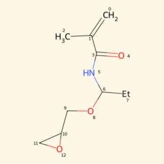 C=C(C)C(=O)NC(CC)OCC1CO1